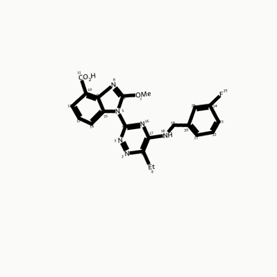 CCc1nnc(-n2c(OC)nc3c(C(=O)O)cccc32)nc1NCc1cccc(F)c1